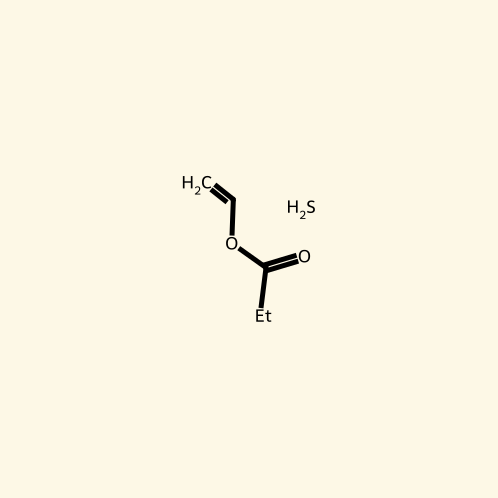 C=COC(=O)CC.S